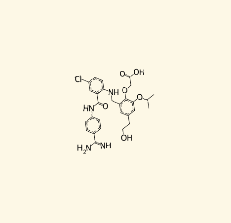 CC(C)Oc1cc(CCO)cc(CNc2ccc(Cl)cc2C(=O)Nc2ccc(C(=N)N)cc2)c1OCC(=O)O